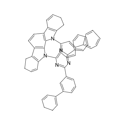 C1=CC(c2cccc(-c3nc(-c4ccccc4)nc(-n4c5c(c6ccc7c8c(n(-c9cccc(-c%10ccccc%10)c9)c7c64)CCC=C8)CCC=C5)n3)c2)=CCC1